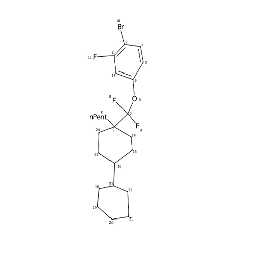 CCCCCC1(C(F)(F)Oc2ccc(Br)c(F)c2)CCC(C2CCCCC2)CC1